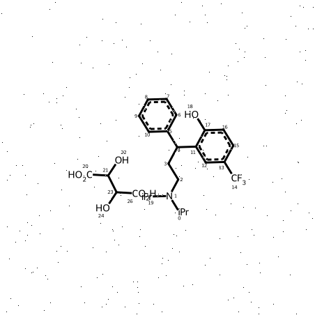 CC(C)N(CCC(c1ccccc1)c1cc(C(F)(F)F)ccc1O)C(C)C.O=C(O)C(O)C(O)C(=O)O